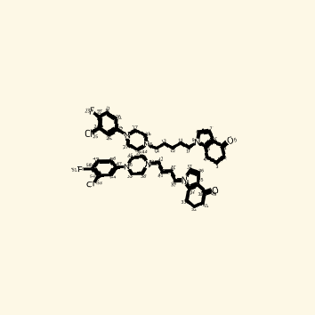 O=C1CCCc2c1ccn2CCCCCN1CCN(c2ccc(F)c(Cl)c2)CC1.O=C1CCCc2c1ccn2CCCCN1CCN(c2ccc(F)c(Cl)c2)CC1